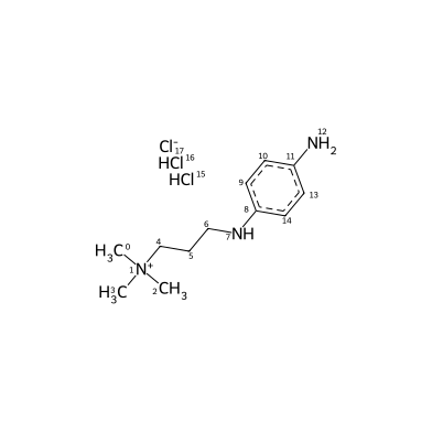 C[N+](C)(C)CCCNc1ccc(N)cc1.Cl.Cl.[Cl-]